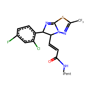 CCCC(C)NC(=O)/C=C/C1C(c2ccc(F)cc2Cl)N=C2SC(C(F)(F)F)=NN21